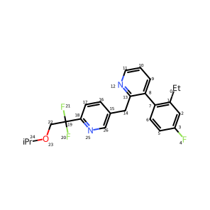 CCc1cc(F)ccc1-c1cccnc1Cc1ccc(C(F)(F)COC(C)C)nc1